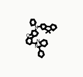 CC1(C)c2ccccc2-c2ccc(N(c3ccccc3)c3ccc4c(c3)oc3cccc(-c5nc(-c6ccccc6)c6ccccc6n5)c34)cc21